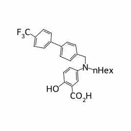 CCCCCCN(Cc1ccc(-c2ccc(C(F)(F)F)cc2)cc1)c1ccc(O)c(C(=O)O)c1